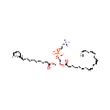 CC/C=C\C/C=C\C/C=C\C/C=C\CCCCCCC(=O)O[C@H](COC(=O)CCCCCCC/C=C\C/C=C\CCCCC)COP(=O)([O-])OCC[N+](C)(C)C